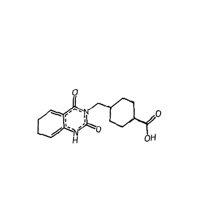 O=C(O)C1CCC(Cn2c(=O)[nH]c3c(c2=O)=CCCC=3)CC1